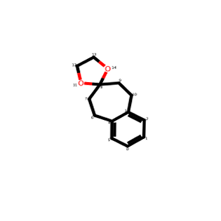 [c]1ccc2c(c1)CCC1(CC2)OCCO1